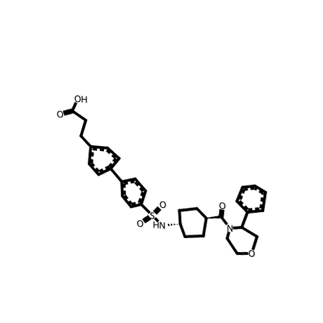 O=C(O)CCc1ccc(-c2ccc(S(=O)(=O)N[C@H]3CC[C@H](C(=O)N4CCOCC4c4ccccc4)CC3)cc2)cc1